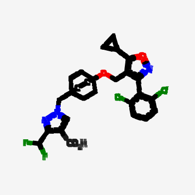 O=C(O)c1cn(CC23CCC(OCc4c(-c5c(Cl)cccc5Cl)noc4C4CC4)(CC2)CC3)nc1C(F)F